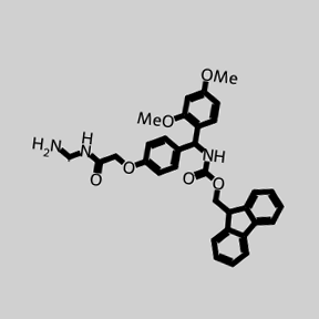 COc1ccc(C(NC(=O)OCC2c3ccccc3-c3ccccc32)c2ccc(OCC(=O)N[CH]N)cc2)c(OC)c1